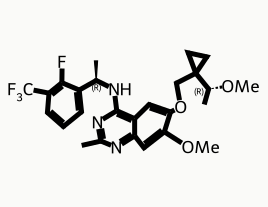 COc1cc2nc(C)nc(N[C@H](C)c3cccc(C(F)(F)F)c3F)c2cc1OCC1([C@@H](C)OC)CC1